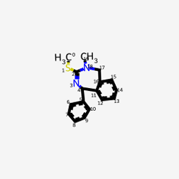 CSC1=NC(c2ccccc2)c2ccccc2CN1C